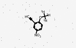 [2H]C([2H])([2H])Oc1ccc([N+](=O)[O-])cc1C#C